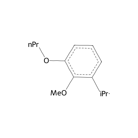 CCCOc1cccc([C](C)C)c1OC